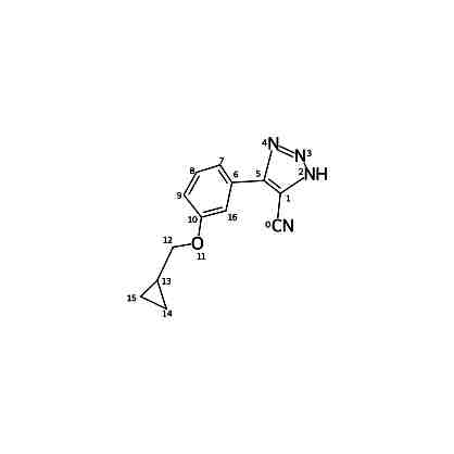 N#Cc1[nH]nnc1-c1cccc(OCC2CC2)c1